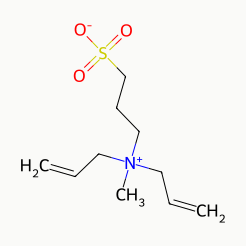 C=CC[N+](C)(CC=C)CCCS(=O)(=O)[O-]